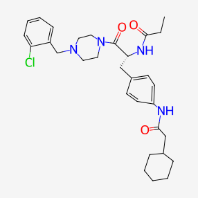 CCC(=O)N[C@H](Cc1ccc(NC(=O)CC2CCCCC2)cc1)C(=O)N1CCN(Cc2ccccc2Cl)CC1